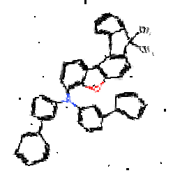 CC1(C)c2cc#ccc2-c2c1ccc1oc3c(N(c4cccc(-c5ccccc5)c4)c4cccc(-c5ccccc5)c4)cccc3c21